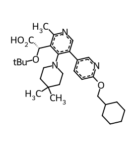 Cc1ncc(-c2ccc(OCC3CCCCC3)nc2)c(N2CCC(C)(C)CC2)c1[C@H](OC(C)(C)C)C(=O)O